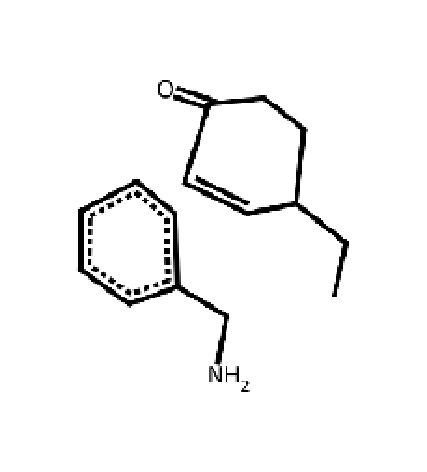 CCC1C=CC(=O)CC1.NCc1ccccc1